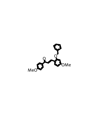 COc1ccc(C(=O)C=Cc2ccc(OC)cc2OCc2ccccc2)cc1